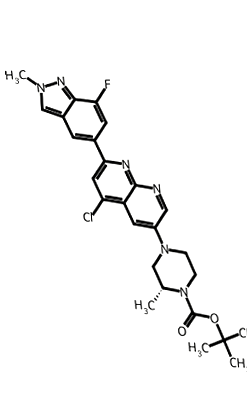 C[C@@H]1CN(c2cnc3nc(-c4cc(F)c5nn(C)cc5c4)cc(Cl)c3c2)CCN1C(=O)OC(C)(C)C